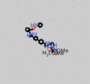 COC(=O)N[C@H](C(=O)N1CCC[C@H]1c1ncc(-c2ccc(-c3ccc(-c4cnc(C5C6CCC(C6)C5COCNc5ccccc5)[nH]4)cc3)cc2)[nH]1)[C@@H](C)OC